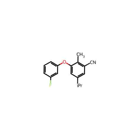 Cc1c(C#N)cc(C(C)C)cc1Oc1cccc(F)c1